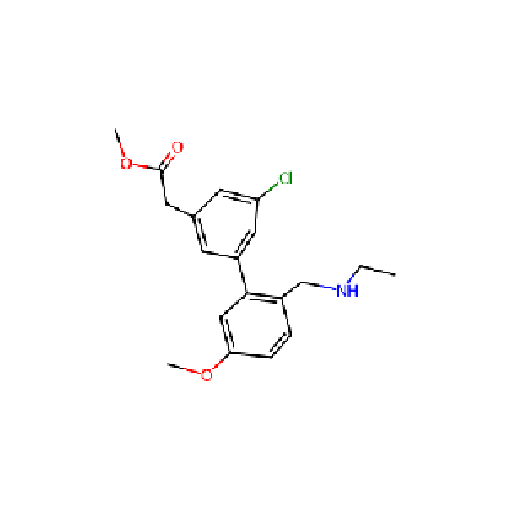 CCNCc1ccc(OC)cc1-c1cc(Cl)cc(CC(=O)OC)c1